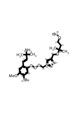 COc1cc(/C=C/C(C)(C)N)c(OOOCn2cc(COC(C)(C)CCOC(C)(C)C)nn2)cc1C(C)(C)C